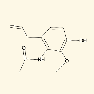 C=CCc1ccc(O)c(OC)c1NC(C)=O